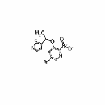 CC(Oc1cc(Br)cnc1[N+](=O)[O-])c1ccns1